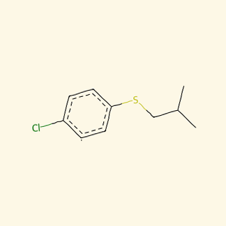 CC(C)CSc1c[c]c(Cl)cc1